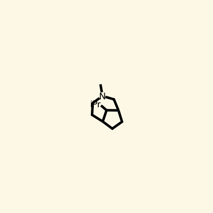 CC(C)C1C2CCC1CN(C)CC2